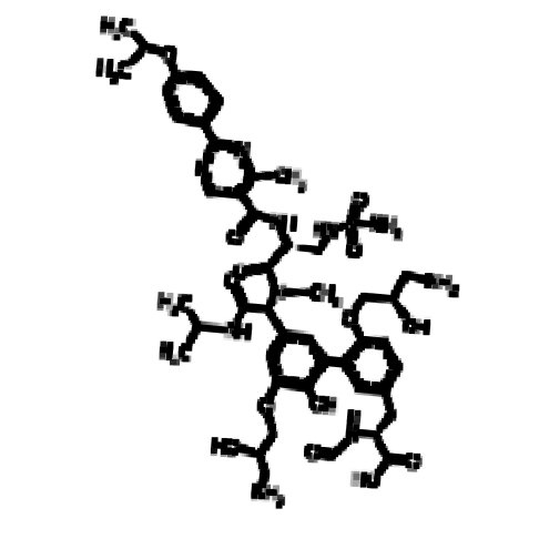 Cc1nc(-c2ccc(OC(C)C)cc2)ncc1C(=O)N[C@@H](CNS(N)(=O)=O)C(=O)N(C)[C@H](C(=O)NC(C)C)c1cc(OC[C@H](O)CN)c(O)c(-c2cc(C[C@H](NC=O)C(=O)O)ccc2OC[C@H](O)CN)c1